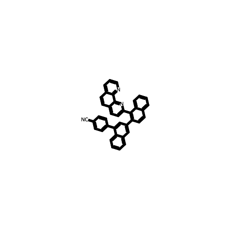 N#Cc1ccc(-c2cc(-c3ccc4ccccc4c3-c3ccc4ccc5cccnc5c4n3)cc3ccccc23)cc1